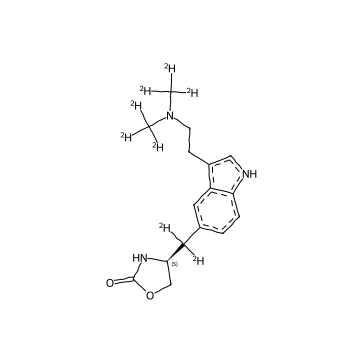 [2H]C([2H])(c1ccc2[nH]cc(CCN(C([2H])([2H])[2H])C([2H])([2H])[2H])c2c1)[C@H]1COC(=O)N1